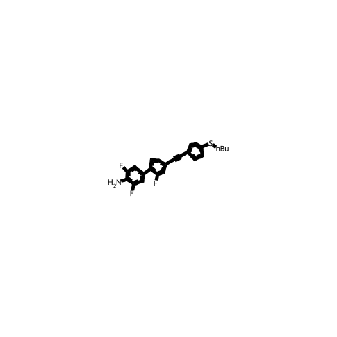 CCCCSc1ccc(C#Cc2ccc(-c3cc(F)c(N)c(F)c3)c(F)c2)cc1